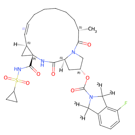 [2H]C1([2H])c2cccc(F)c2C([2H])([2H])N1C(=O)O[C@@H]1C[C@H]2C(=O)N[C@]3(C(=O)NS(=O)(=O)C4CC4)C[C@H]3/C=C\CCCCC[C@H](C)C(=O)N2C1